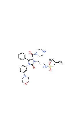 CC(C)CS(=O)(=O)NCCCn1c(C(=O)N2CCNCC2)c(-c2ccccc2)n(-c2cccc(N3CCOCC3)c2)c1=O